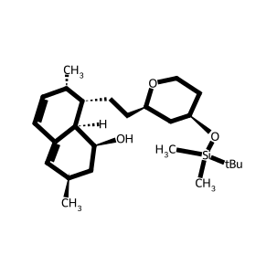 C[C@H]1C=C2C=C[C@H](C)[C@H](CC[C@@H]3C[C@H](O[Si](C)(C)C(C)(C)C)CCO3)[C@H]2[C@@H](O)C1